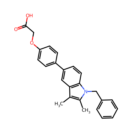 Cc1c(C)n(Cc2ccccc2)c2ccc(-c3ccc(OCC(=O)O)cc3)cc12